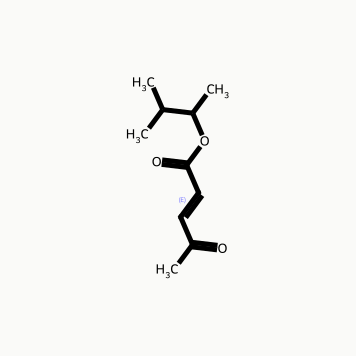 CC(=O)/C=C/C(=O)OC(C)C(C)C